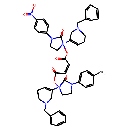 O=C(/C=C\C(=O)O[N+]1(C2=CCCN(Cc3ccccc3)C2)CCN(c2ccc([N+](=O)O)cc2)C1=O)O[N+]1(C2=CCCN(Cc3ccccc3)C2)CCN(c2ccc([N+](=O)[O-])cc2)C1=O